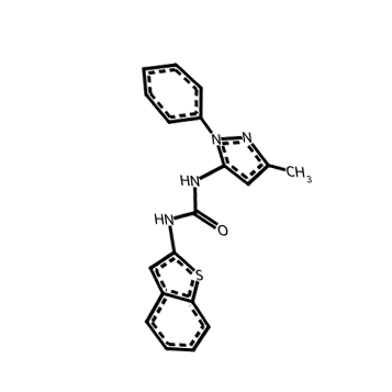 Cc1cc(NC(=O)Nc2cc3ccccc3s2)n(-c2ccccc2)n1